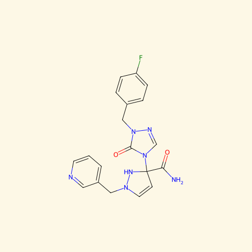 NC(=O)C1(n2cnn(Cc3ccc(F)cc3)c2=O)C=CN(Cc2cccnc2)N1